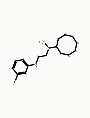 CN(CCOc1cccc(F)c1)C1CCCCCCC1